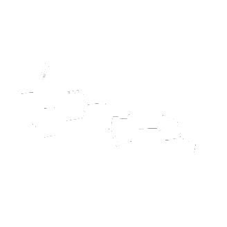 Cc1cnc(Nc2ccc3c(c2)CCNC3C(C)C#N)nc1-c1cnn(C(C)C)c1